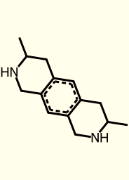 CC1Cc2cc3c(cc2CN1)CNC(C)C3